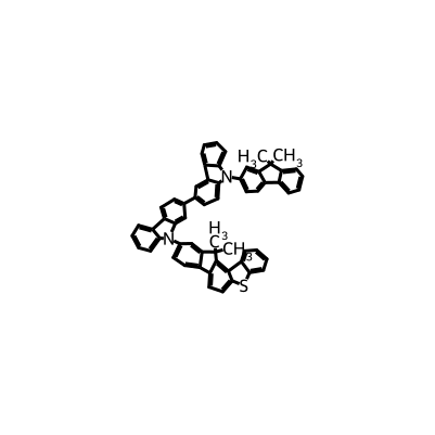 CC1(C)c2ccccc2-c2ccc(-n3c4ccccc4c4cc(-c5ccc6c7ccccc7n(-c7ccc8c(c7)C(C)(C)c7c-8ccc8sc9ccccc9c78)c6c5)ccc43)cc21